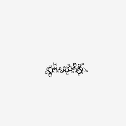 COc1cccc(C(=O)N2CC3CN(CCCNc4ccc(C)c(Cl)c4)CC3C2)c1OC